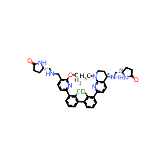 COc1nc(-c2cccc(-c3cccc(-c4ccc5c(n4)N(C)CC[C@H]5NC[C@@H]4CCC(=O)N4)c3Cl)c2Cl)ccc1CNC[C@@H]1CCC(=O)N1